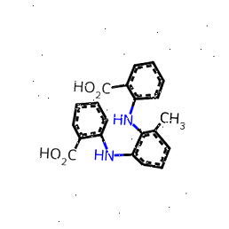 Cc1cccc(Nc2ccccc2C(=O)O)c1Nc1ccccc1C(=O)O